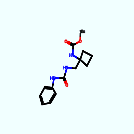 CC(C)(C)OC(=O)NC1(CNC(=O)Nc2ccccc2)CCC1